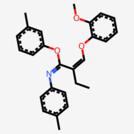 CCC(=COc1ccccc1OC)C(=Nc1ccc(C)cc1)Oc1cccc(C)c1